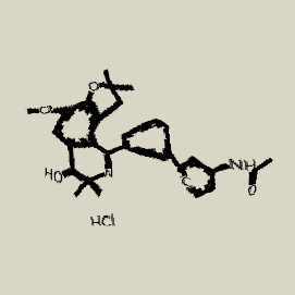 COc1cc2c(c3c1OC(C)(C)C3)C(c1cccc(-c3cccc(NC(C)=O)c3)c1)=NC(C)(C)C2O.Cl